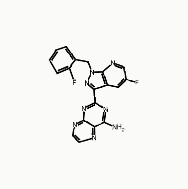 Nc1nc(-c2nn(Cc3ccccc3F)c3ncc(F)cc23)nc2nccnc12